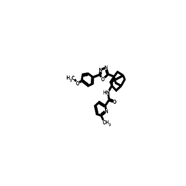 COc1ccc(-c2nnc(C34CC5CC(CC(NC(=O)c6cccc(C)n6)(C5)C3)C4)o2)cc1